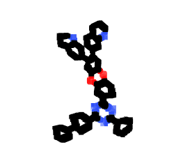 c1ccc(-c2ccc(-c3nc(-c4ccccc4)nc(-c4ccc5c(c4)Oc4cc(-c6ccc7cccnc7c6)c(-c6ccc7cccnc7c6)cc4O5)n3)cc2)cc1